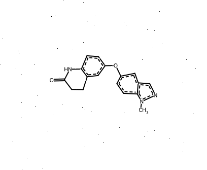 Cn1ncc2cc(Oc3ccc4c(c3)CCC(=O)N4)ccc21